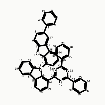 c1ccc(-c2ccc3oc4c(-n5c6ccccc6c6cccc(-c7nc(-c8ccccc8)nc(-c8ccccc8)n7)c65)cccc4c3c2)cc1